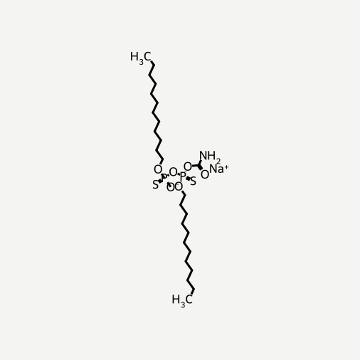 CCCCCCCCCCCCOP([O-])(=S)OP(=S)(OCCCCCCCCCCCC)OC(N)=O.[Na+]